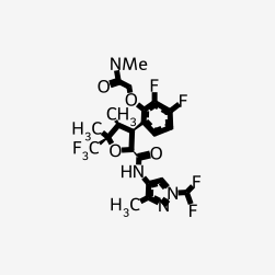 CNC(=O)COc1c([C@H]2[C@H](C(=O)Nc3cn(C(F)F)nc3C)O[C@@](C)(C(F)(F)F)[C@H]2C)ccc(F)c1F